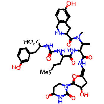 CSCCC(NC(=O)NC(Cc1cccc(O)c1)C(=O)O)C(=O)NC(C(=O)N/C=C1/CC(O)C(N2CCC(=O)NC2=O)O1)C(C)N(C)C(=O)C1Cc2cc(O)ccc2CN1